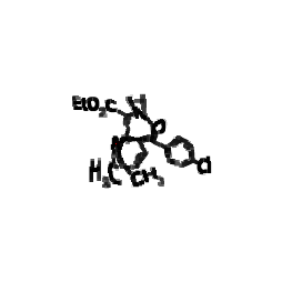 CCOC(=O)C1=CC23C(=CCN1)C=CC=C2[N+](C)(C)CC3C(=O)c1ccc(Cl)cc1